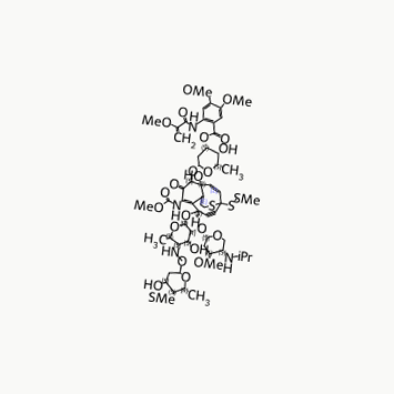 C=C(OC)C(=O)Nc1cc(OC)c(OC)cc1C(=O)O[C@H]1CC(O[C@@H]2C(=O)C(NC(=O)OC)=C3/C4=C\CSC(SSC)(C#C[C@@H]3O[C@@H]3O[C@H](C)[C@@H](NOC5C[C@H](O)[C@H](SC)[C@@H](C)O5)[C@H](O)[C@H]3O[C@H]3C[C@H](OC)[C@@H](NC(C)C)CO3)/C=C\[C@@]42O)O[C@@H](C)C1O